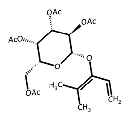 C=CC(O[C@@H]1O[C@H](COC(C)=O)[C@H](OC(C)=O)[C@H](OC(C)=O)[C@H]1OC(C)=O)=C(C)C